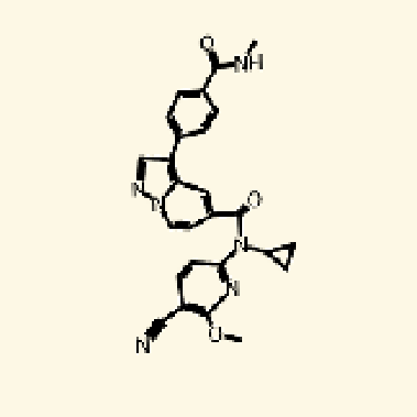 CNC(=O)c1ccc(-c2cnn3ccc(C(=O)N(c4ccc(C#N)c(OC)n4)C4CC4)cc23)cc1